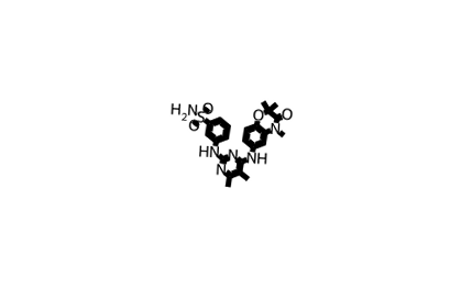 Cc1nc(Nc2cccc(S(N)(=O)=O)c2)nc(Nc2ccc3c(c2)N(C)C(=O)C(C)(C)O3)c1C